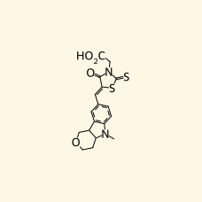 CN1c2ccc(/C=C3\SC(=S)N(CC(=O)O)C3=O)cc2C2COCCC21